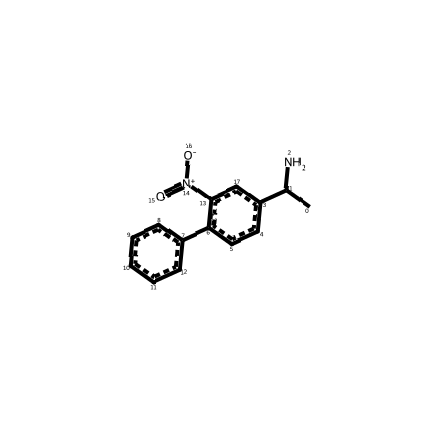 CC(N)c1ccc(-c2ccccc2)c([N+](=O)[O-])c1